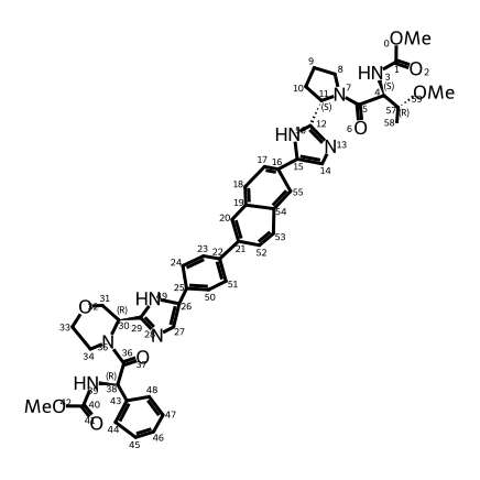 COC(=O)N[C@H](C(=O)N1CCC[C@H]1c1ncc(-c2ccc3cc(-c4ccc(-c5cnc([C@@H]6COCCN6C(=O)[C@H](NC(=O)OC)c6ccccc6)[nH]5)cc4)ccc3c2)[nH]1)[C@@H](C)OC